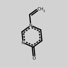 C=Cn1ccc(=O)nc1